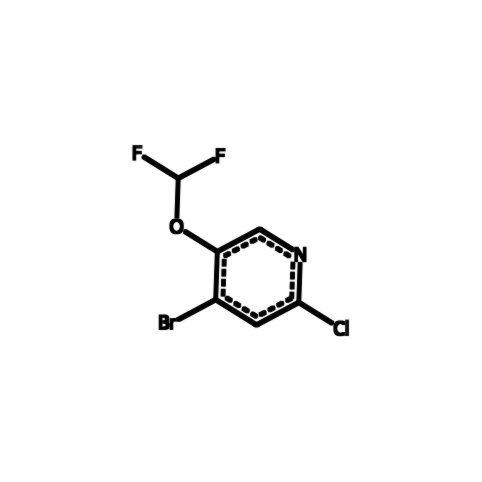 FC(F)Oc1cnc(Cl)cc1Br